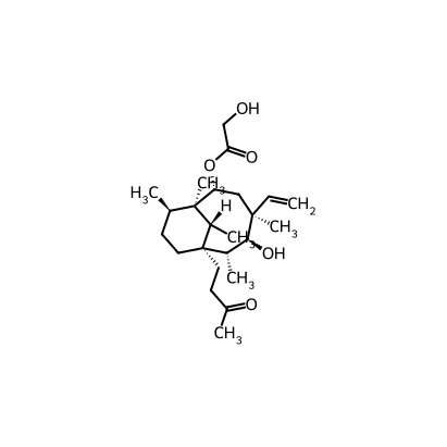 C=C[C@]1(C)C[C@@H](OC(=O)CO)[C@]2(C)[C@H](C)CC[C@@](CCC(C)=O)([C@H]2C)[C@@H](C)[C@@H]1O